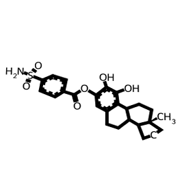 C[C@@]12CCCC1C1CCc3cc(OC(=O)c4ccc(S(N)(=O)=O)cc4)c(O)c(O)c3C1CC2